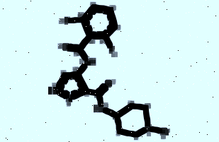 CC(C)N1CCC(NC(=O)c2n[nH]cc2NC(=O)c2c(F)cccc2F)CC1